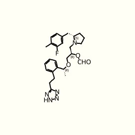 Cc1ccc(C[C@@H]2CCCN2C[C@H](CO[C@H](C)c2ccccc2CCc2nn[nH]n2)OC=O)cc1F